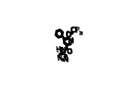 O=C(Nc1cncnc1)c1cnc(OCC(F)(F)F)c(C2CCCCC2)c1